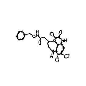 O=C(CC1CNc2c(Cl)c(Cl)cc3[nH]c(=O)c(=O)n1c23)NOCc1ccccc1